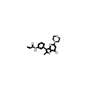 C=CC(=O)Nc1cccc(-c2c(C)sc3c(=O)cc(N4CCOCC4)oc23)c1